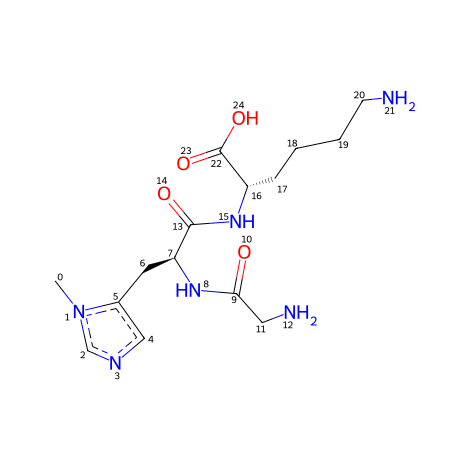 Cn1cncc1C[C@H](NC(=O)CN)C(=O)N[C@@H](CCCCN)C(=O)O